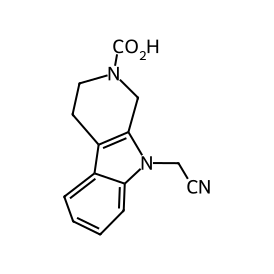 N#CCn1c2c(c3ccccc31)CCN(C(=O)O)C2